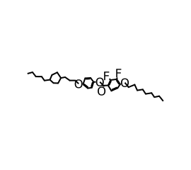 CCCCCCCCCOc1ccc(C(=O)Oc2ccc(OCCCC3CCC(CCCCC)CC3)cc2)c(F)c1F